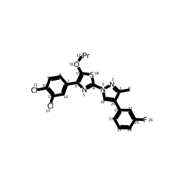 Cc1nn(-c2nc(-c3ccc(Cl)c(Cl)c3)c(OC(C)C)s2)cc1-c1cccc(F)c1